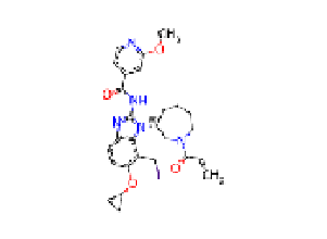 C=CC(=O)N1CCCC[C@@H](n2c(NC(=O)c3ccnc(OC)c3)nc3ccc(OC4CC4)c(CI)c32)C1